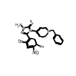 CC(C)c1cc(-c2nn(N)c(=S)n2C2CCN(Cc3ccccc3)CC2)c(N=O)cc1N=O